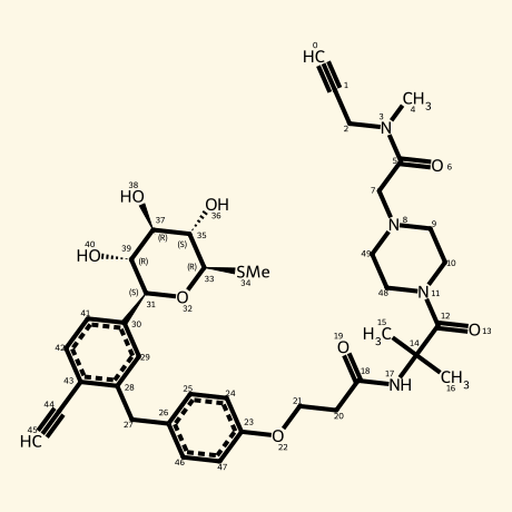 C#CCN(C)C(=O)CN1CCN(C(=O)C(C)(C)NC(=O)CCOc2ccc(Cc3cc([C@@H]4O[C@H](SC)[C@@H](O)[C@H](O)[C@H]4O)ccc3C#C)cc2)CC1